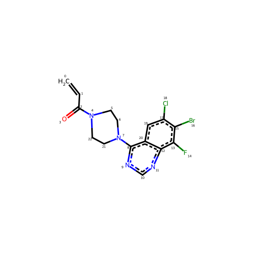 C=CC(=O)N1CCN(c2ncnc3c(F)c(Br)c(Cl)cc23)CC1